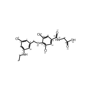 CCNc1cc(Cl)cc(COc2c(Cl)cc(C(=O)NCC(=O)O)cc2Cl)c1